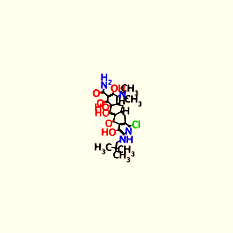 CN(C)[C@@H]1C(O)=C(C(N)=O)C(=O)[C@@]2(O)C(O)=C3C(=O)c4c(O)c(NCC(C)(C)C)nc(Cl)c4C[C@H]3C[C@@H]12